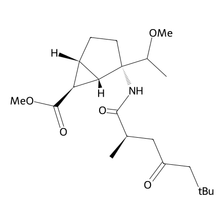 COC(=O)[C@H]1[C@@H]2CC[C@@](NC(=O)[C@H](C)CC(=O)CC(C)(C)C)(C(C)OC)[C@@H]21